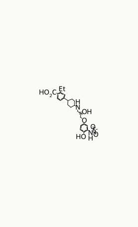 CCc1cc(C2CCC(NC[C@H](O)COc3ccc(O)c(NS(C)(=O)=O)c3)CC2)ccc1C(=O)O